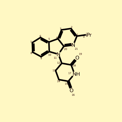 CC(C)c1ccc2c3ccccc3n(C3CCC(=O)NC3=O)c2n1